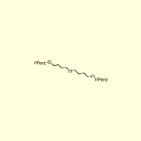 CCCCCOCCCCOCCCCOCCCCC